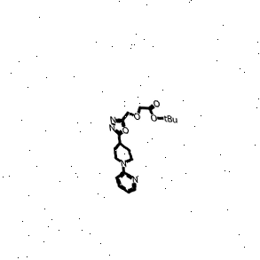 CC(C)(C)OC(=O)COCc1nnc(C2CCN(c3ccccn3)CC2)o1